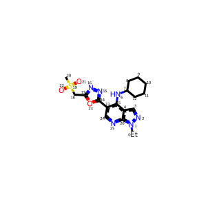 CCn1ncc2c(NC3CCCCC3)c(-c3nnc(CS(C)(=O)=O)o3)cnc21